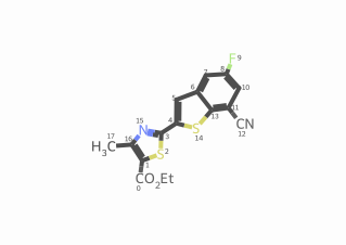 CCOC(=O)c1sc(-c2cc3cc(F)cc(C#N)c3s2)nc1C